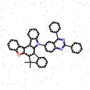 CC1(C)c2ccccc2-c2c1c1oc3ccccc3c1c1c3ccccc3n(-c3ccc4nc(-c5ccccc5)nc(-c5ccccc5)c4c3)c21